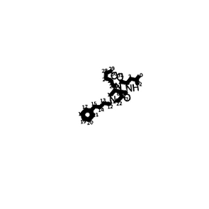 CC(C)CC1NC(=O)C2(CCN(CCCCc3ccccc3)CC2)N(CC2CCCO2)C1=O